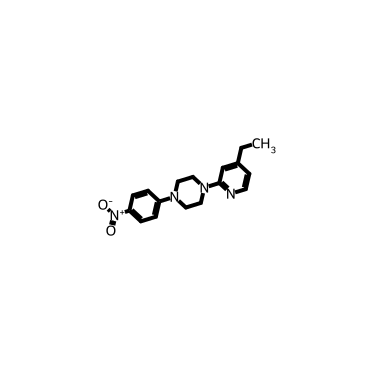 CCc1ccnc(N2CCN(c3ccc([N+](=O)[O-])cc3)CC2)c1